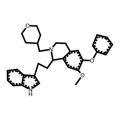 COc1cc2c(cc1Oc1ccccc1)CCN(CC1CCOCC1)C2CCc1c[nH]c2ccccc12